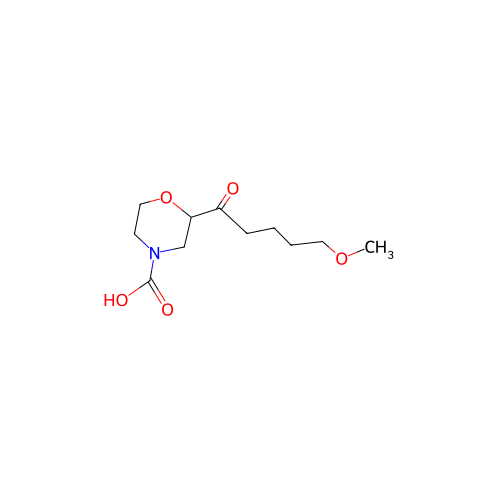 COCCCCC(=O)C1CN(C(=O)O)CCO1